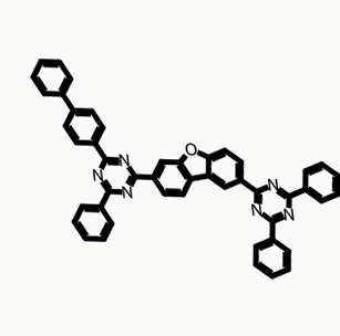 c1ccc(-c2ccc(-c3nc(-c4ccccc4)nc(-c4ccc5c(c4)oc4ccc(-c6nc(-c7ccccc7)nc(-c7ccccc7)n6)cc45)n3)cc2)cc1